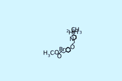 [2H]C([2H])(C)c1ccc(CCOc2ccc(CC(Br)C(=O)OCC)cc2)nc1